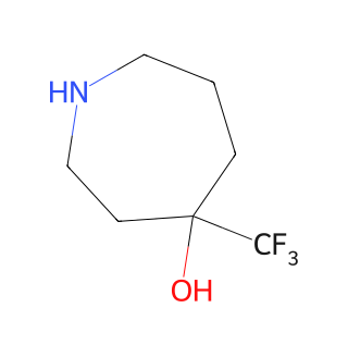 OC1(C(F)(F)F)CCCNCC1